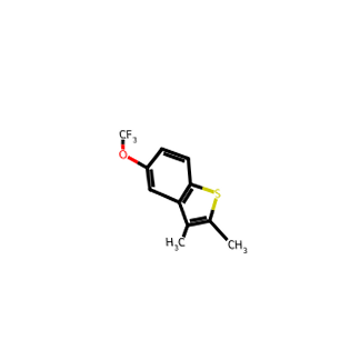 Cc1sc2ccc(OC(F)(F)F)cc2c1C